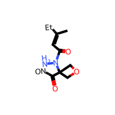 CC/C(C)=C/C(=O)N(N)C1(C(=O)N=O)COC1